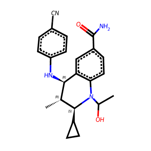 CC(O)N1c2ccc(C(N)=O)cc2[C@H](Nc2ccc(C#N)cc2)[C@@H](C)[C@@H]1C1CC1